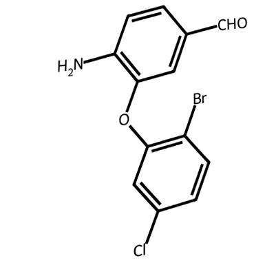 Nc1ccc(C=O)cc1Oc1cc(Cl)ccc1Br